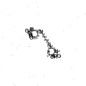 C=C1C(=O)O[C@@H]2[C@H](O)[C@@H](C)CC/C=C(/C=N/CCCCCCCC/N=C\C3=C\CC[C@@]4(C)O[C@H]4[C@H]4OC(=O)C(=C)[C@@H]4CC3)CC[C@@H]12